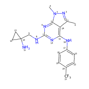 Cc1nn(C)c2nc(NCC3(N)CC3)nc(Nc3ccc(C(F)(F)F)cc3)c12